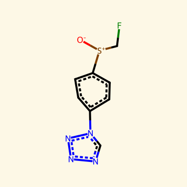 [O-][S+](CF)c1ccc(-n2cnnn2)cc1